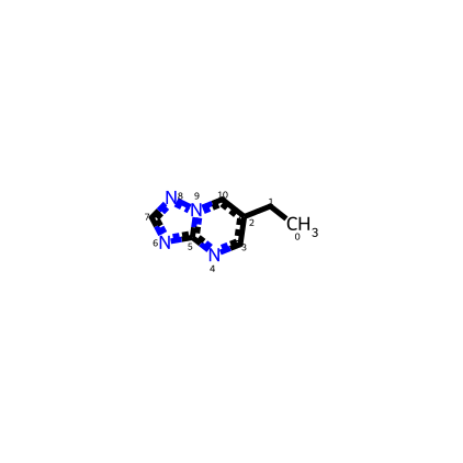 CCc1cnc2ncnn2c1